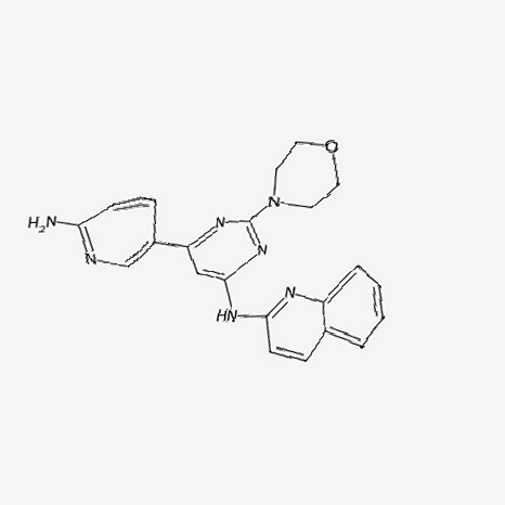 Nc1ccc(-c2cc(Nc3ccc4ccccc4n3)nc(N3CCOCC3)n2)cn1